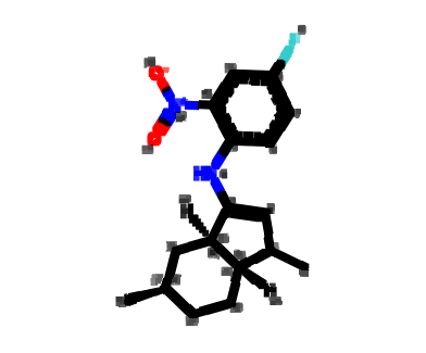 CC1C=C(Nc2ccc(F)cc2[N+](=O)[O-])[C@@H]2C[C@H](C)CC[C@@H]12